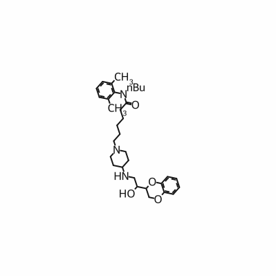 CCCCN(C(=O)CCCCCN1CCC(NCC(O)C2COc3ccccc3O2)CC1)c1c(C)cccc1C